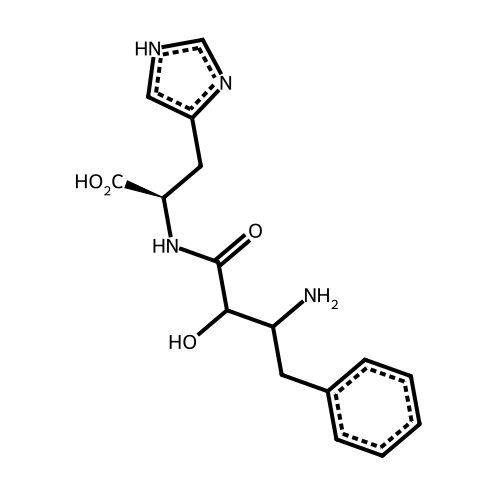 NC(Cc1ccccc1)C(O)C(=O)N[C@H](Cc1c[nH]cn1)C(=O)O